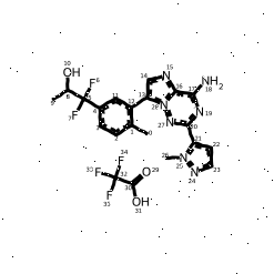 Cc1ccc(C(F)(F)C(C)O)cc1-c1cnc2c(N)nc(-c3ccnn3C)nn12.O=C(O)C(F)(F)F